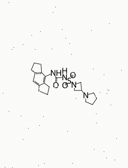 O=C(Nc1c2c(cc3c1CCC3)CCC2)NS(=O)(=O)N1CC(N2CCCC2)C1